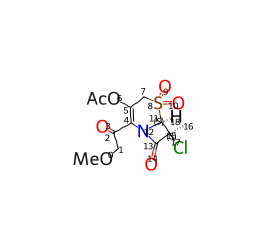 COCC(=O)C1=C(OC(C)=O)CS(=O)(=O)[C@@H]2N1C(=O)[C@]2(C)Cl